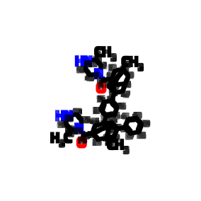 C[C@H]1CN(C(=O)C23CC4CC(C)(C2)CC(c2ccc(C56CC7(C)CC(C(=O)N8CCNC[C@@H]8C)(CC(c8ccccc8)(C7)C5)C6)cc2)(C4)C3)CCN1